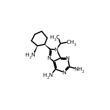 CC(C)n1c([C@@H]2CCCC[C@@H]2N)nc2c(N)nc(N)nc21